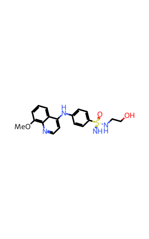 COc1cccc2c(Nc3ccc([S@](=N)(=O)NCCO)cc3)ccnc12